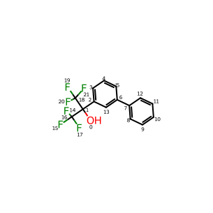 OC(c1cc[c]c(-c2ccccc2)c1)(C(F)(F)F)C(F)(F)F